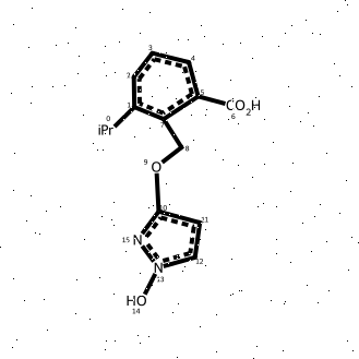 CC(C)c1cccc(C(=O)O)c1COc1ccn(O)n1